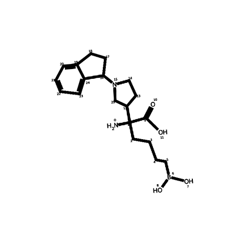 NC(CCCCB(O)O)(C(=O)O)C1CCN(C2CCc3ccccc32)C1